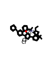 CCC1C=C(C(C)(C)C)C=[C]1/[Zr+2](=[C](\C)c1ccccc1)[c]1c(-c2ccccc2)ccc2c1Cc1cc(-c3ccccc3)ccc1-2.[Cl-].[Cl-]